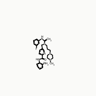 C=C(Nc1cccc(F)c1)N(CCCN1CCN(C)CC1)Cc1ccc(C(=O)Nc2ccccc2N)nc1